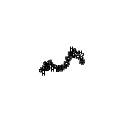 NC(=O)c1c(-c2ccc(Oc3ccccc3)cc2)nn2c1NCC[C@H]2C1CCN(C2CCN(Cc3ccc(C(=O)NCCNc4cccc5c4C(=O)N(C4CCC(=O)NC4=O)C5=O)cc3)CC2)CC1